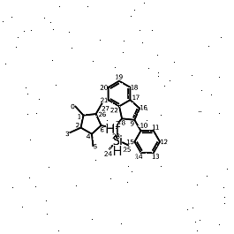 CC1C(C)C(C)[CH]([Hf]([CH]2C(c3ccccc3)=Cc3ccccc32)[SiH](C)C)C1C